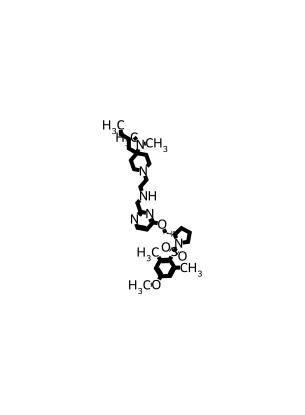 CCCCC1(N(C)C)CCN(CCNCc2nccc(OC[C@@H]3CCCN3S(=O)(=O)c3c(C)cc(OC)cc3C)n2)CC1